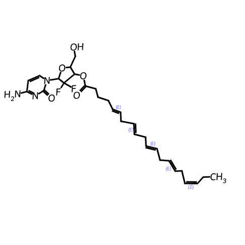 CC/C=C\C/C=C/C/C=C/C/C=C/C/C=C/CCCC(=O)OC1C(CO)OC(n2ccc(N)nc2=O)C1(F)F